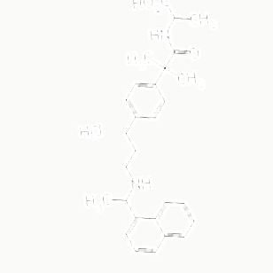 CC(NC(=O)C(C)(C)c1ccc(CCCNC(C)c2cccc3ccccc23)cc1)C(=O)O.Cl